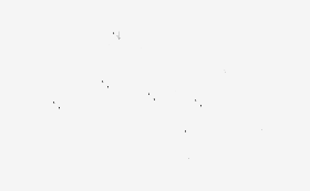 CCOC(=O)C1C(=O)Cc2cc([N+](=O)[O-])c(N3CCN(C)CC3)nc2N1C1CC1